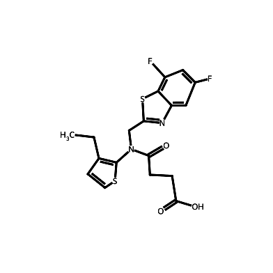 CCc1ccsc1N(Cc1nc2cc(F)cc(F)c2s1)C(=O)CCC(=O)O